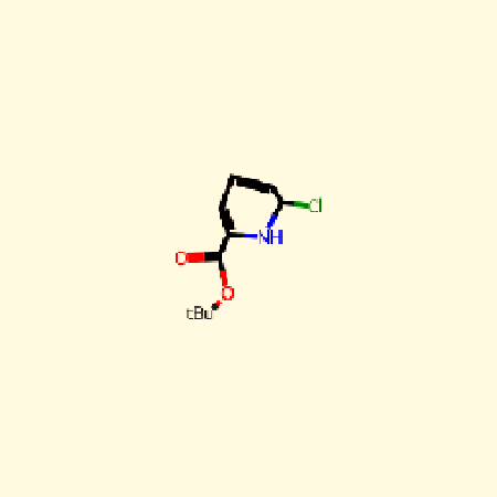 CC(C)(C)OC(=O)C1=CC=CC(Cl)N1